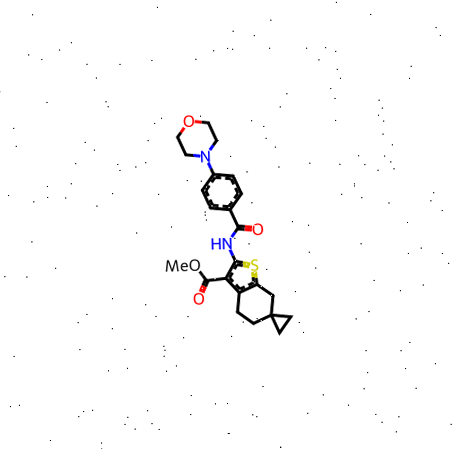 COC(=O)c1c(NC(=O)c2ccc(N3CCOCC3)cc2)sc2c1CCC1(CC1)C2